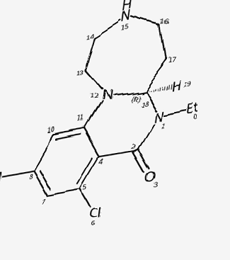 CCN1C(=O)c2c(Cl)cc(Cl)cc2N2CCNCC[C@@H]12